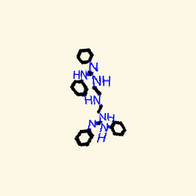 C1CCC(N=C(NCCNCCNC(=NC2CCCCC2)NC2CCCCC2)NC2CCCCC2)CC1